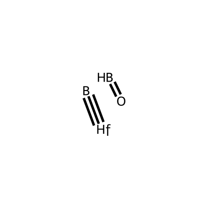 B=O.[B]#[Hf]